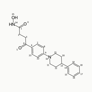 O=C(CCC(=O)c1ccc(N2CCC(c3ccccc3)CC2)cc1)NO